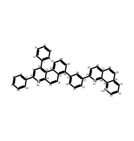 c1ccc(-c2cc(-c3ccccc3)c3c(ccc4c(-c5cccc(-c6ccc7ccc8cccnc8c7n6)c5)cccc43)n2)cc1